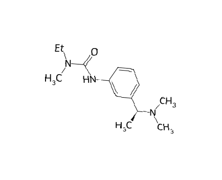 CCN(C)C(=O)Nc1cccc([C@H](C)N(C)C)c1